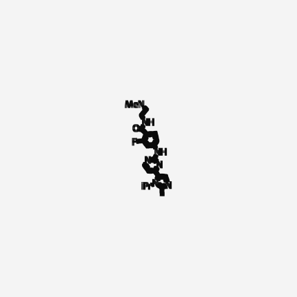 CNCCNC(=O)c1ccc(Nc2nccc(-c3cnc(C)n3C(C)C)n2)cc1F